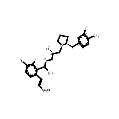 CCOC(=O)/C=C/c1ccc(F)c(F)c1C(C)OC[C@H](O)CN1CCC[C@H]1Cc1ccc(C)c(F)c1